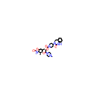 Cc1cc(C[C@@H](OC(=O)N2CCC(N3CCc4ccccc4NC3=O)CC2)C(=O)N2CCN(C)CC2)cc2oc(=O)n(C)c12